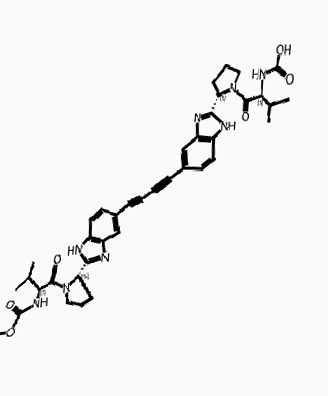 COC(=O)N[C@H](C(=O)N1CCC[C@H]1c1nc2cc(C#CC#Cc3ccc4[nH]c([C@@H]5CCCN5C(=O)[C@@H](NC(=O)O)C(C)C)nc4c3)ccc2[nH]1)C(C)C